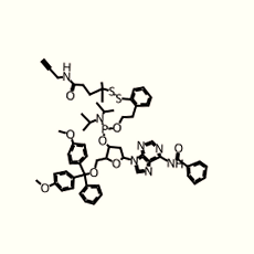 C#CCNC(=O)CCC(C)(C)SSc1ccccc1CCOP(OC1CC(n2cnc3c(NC(=O)c4ccccc4)ncnc32)OC1COC(c1ccccc1)(c1ccc(OC)cc1)c1ccc(OC)cc1)N(C(C)C)C(C)C